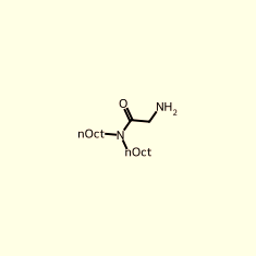 CCCCCCCCN(CCCCCCCC)C(=O)CN